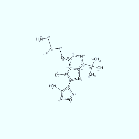 CCn1c(-c2nonc2N)nc2c(C(C)(C)O)ncc(OCC(F)CN)c21